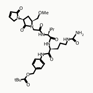 COC[C@@H]1C[C@H](N2CC=CC2=O)C(=O)N1CC(=O)N[C@H](C(=O)N[C@@H](CCCNC(N)=O)C(=O)Nc1ccc(COC(=O)C(C)(C)C)cc1)C(C)C